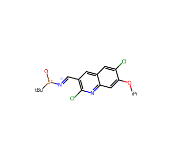 CC(C)Oc1cc2nc(Cl)c(/C=N/[S+]([O-])C(C)(C)C)cc2cc1Cl